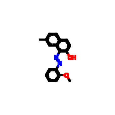 COc1ccccc1N=Nc1c(O)ccc2ccc(C)cc12